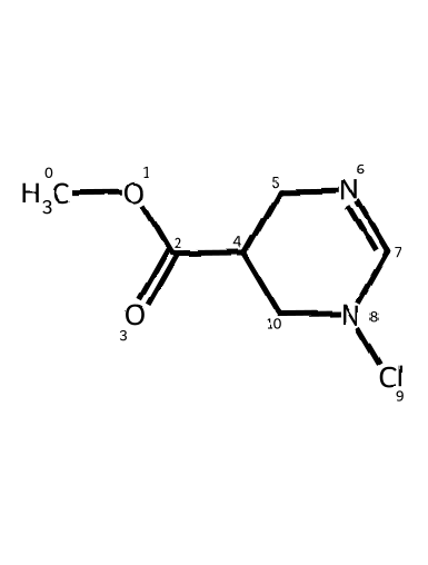 COC(=O)C1CN=CN(Cl)C1